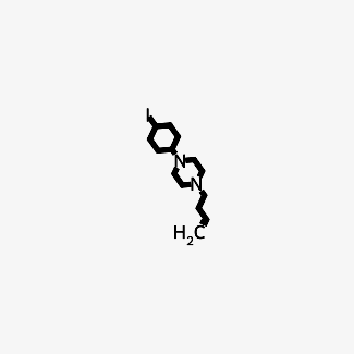 C=CCCN1CCN(C2CCC(I)CC2)CC1